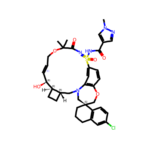 Cn1cc(C(=O)NS2(=O)=NC(=O)C(C)(C)OC/C=C/[C@H](O)[C@@H]3CC[C@H]3CN3C[C@@]4(CCCc5cc(Cl)ccc54)COc4ccc2cc43)cn1